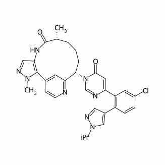 CC(C)n1cc(-c2ccc(Cl)cc2-c2cc(=O)n([C@H]3CCC[C@@H](C)C(=O)Nc4cnn(C)c4-c4ccnc3c4)cn2)cn1